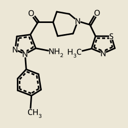 Cc1ccc(-n2ncc(C(=O)C3CCN(C(=O)c4scnc4C)CC3)c2N)cc1